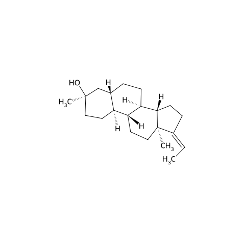 C/C=C1/CC[C@H]2[C@@H]3CC[C@H]4C[C@](C)(O)CC[C@@H]4[C@H]3CC[C@]12C